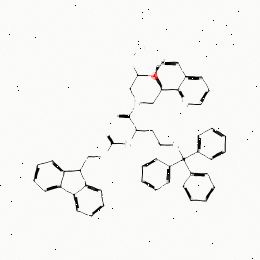 CCOC(CN(Cc1cccc2cccnc12)C(=O)C(CC(=O)NC(c1ccccc1)(c1ccccc1)c1ccccc1)NC(=O)OCC1c2ccccc2-c2ccccc21)OCC